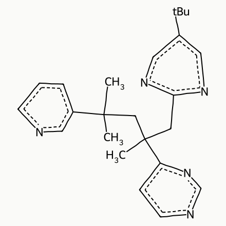 CC(C)(C)c1cnc(CC(C)(CC(C)(C)c2cccnc2)c2ccncn2)nc1